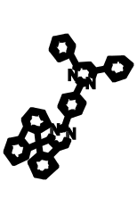 c1ccc(-c2cc(-c3ccccc3)nc(-c3ccc(-c4ncc5c(n4)C4(c6ccccc6-c6ccccc64)c4ccccc4-5)cc3)n2)cc1